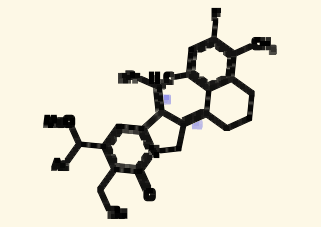 CCC/C=C1/C(=C2/CCCc3c(C)c(F)cc(C)c32)Cn2c1cc(C(OC)C(C)=O)c(CC(C)CC)c2=O